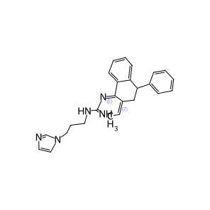 C/C=C1/CC(c2ccccc2)c2ccccc2/C1=N/C(=N)NCCCn1ccnc1